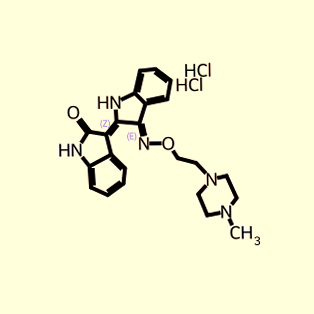 CN1CCN(CCO/N=C2/C(=C3/C(=O)Nc4ccccc43)Nc3ccccc32)CC1.Cl.Cl